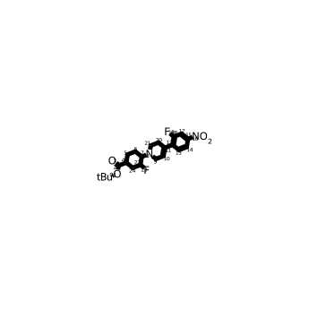 CC(C)(C)OC(=O)C1CCC(N2CC=C(c3ccc([N+](=O)[O-])cc3F)CC2)C(F)C1